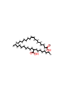 CCCCCCCC/C=C\CCCCCCCC(=O)O.CCCCCCCCCCC(CCCCCCCC)C(=O)O